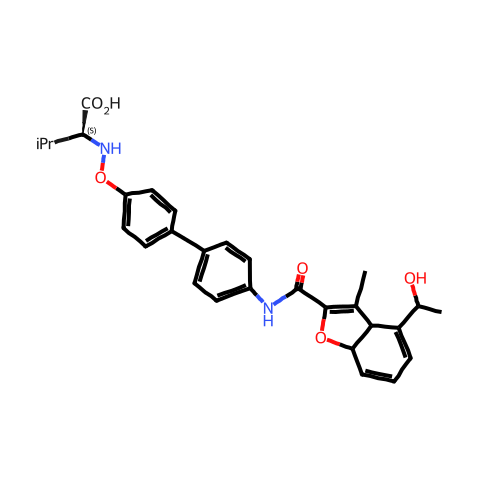 CC1=C(C(=O)Nc2ccc(-c3ccc(ON[C@H](C(=O)O)C(C)C)cc3)cc2)OC2C=CC=C(C(C)O)C12